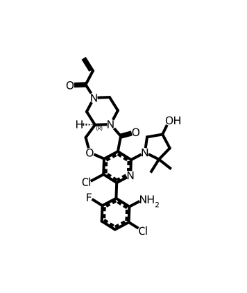 C=CC(=O)N1CCN2C(=O)c3c(N4CC(O)CC4(C)C)nc(-c4c(F)ccc(Cl)c4N)c(Cl)c3OC[C@H]2C1